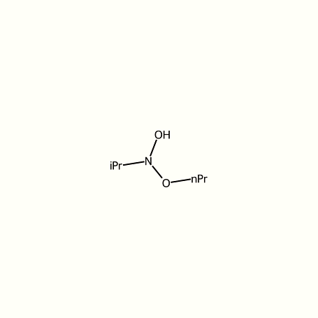 CCCON(O)C(C)C